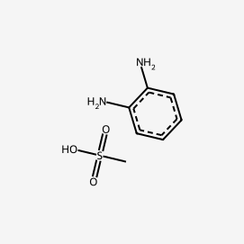 CS(=O)(=O)O.Nc1ccccc1N